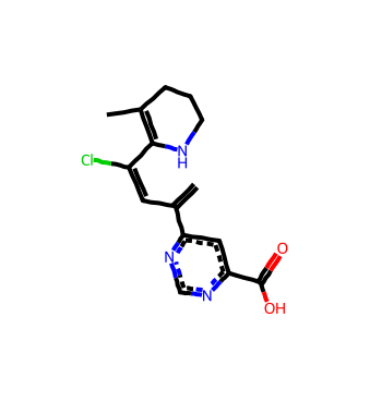 C=C(/C=C(/Cl)C1=C(C)CCCN1)c1cc(C(=O)O)ncn1